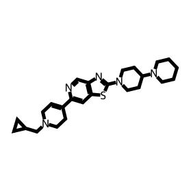 C1=C(c2cc3sc(N4CCC(N5CCCCC5)CC4)nc3cn2)CCN(CC2CC2)C1